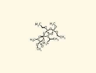 CCOP(=O)(OC)OP(=O)(OCC)OP(=O)(OC(C)C)OP(=O)(OC)OC